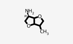 CC1COC2C1OC[C@H]2N